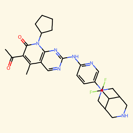 CC(=O)c1c(C)c2cnc(Nc3ccc(N4CC5CNCC(C4)C5C(F)F)cn3)nc2n(C2CCCC2)c1=O